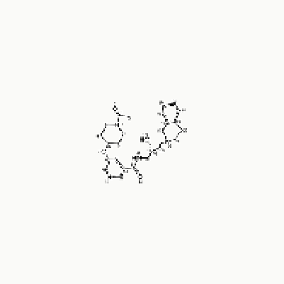 CC(=O)N1CCC(Oc2cncc(C(=O)NC[C@H](O)CN3CCc4ccccc4C3)c2)CC1